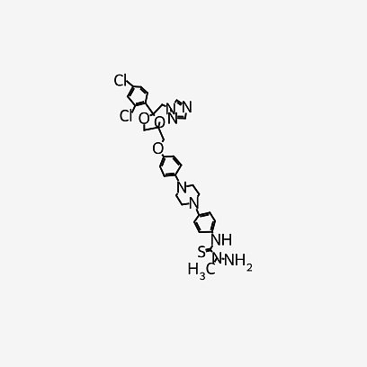 CN(N)C(=S)Nc1ccc(N2CCN(c3ccc(OCC4COC(Cn5cncn5)(c5ccc(Cl)cc5Cl)O4)cc3)CC2)cc1